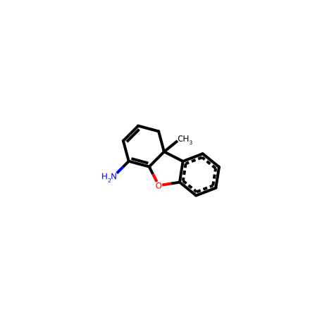 CC12CC=CC(N)=C1Oc1ccccc12